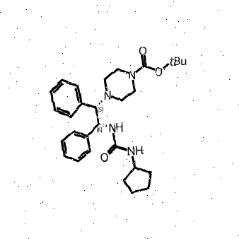 CC(C)(C)OC(=O)N1CCN([C@@H](c2ccccc2)[C@H](NC(=O)NC2CCCC2)c2ccccc2)CC1